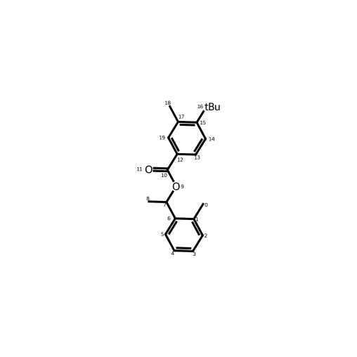 Cc1ccccc1C(C)OC(=O)c1ccc(C(C)(C)C)c(C)c1